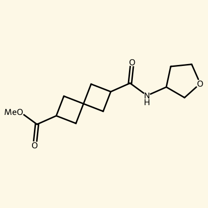 COC(=O)C1CC2(CC(C(=O)NC3CCOC3)C2)C1